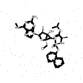 CNc1nc(N)nc2c1ncn2[C@@H]1O[C@]2(CCl)C(O[P@](=O)(N[C@H](C)C(=O)OC(C)C)Oc3cccc4ccccc34)[C@]2(O)[C@@H]1F